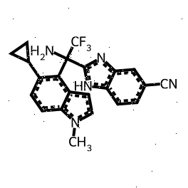 Cn1ccc2c(C(N)(c3nc4cc(C#N)ccc4[nH]3)C(F)(F)F)c(C3CC3)ccc21